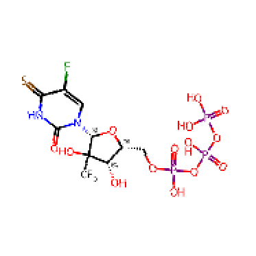 O=c1[nH]c(=S)c(F)cn1[C@@H]1O[C@H](COP(=O)(O)OP(=O)(O)OP(=O)(O)O)[C@H](O)C1(O)C(F)(F)F